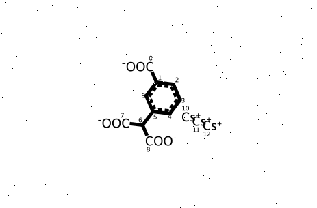 O=C([O-])c1cccc(C(C(=O)[O-])C(=O)[O-])c1.[Cs+].[Cs+].[Cs+]